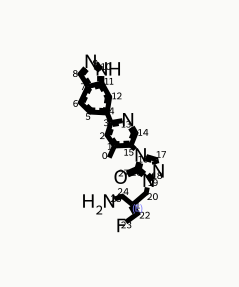 Cc1cc(-c2ccc3cn[nH]c3c2)ncc1-n1cnn(C/C(=C/F)CN)c1=O